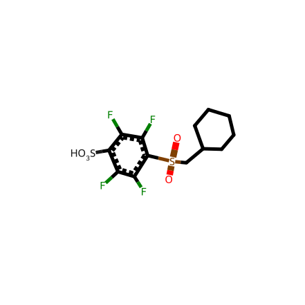 O=S(=O)(O)c1c(F)c(F)c(S(=O)(=O)CC2CCCCC2)c(F)c1F